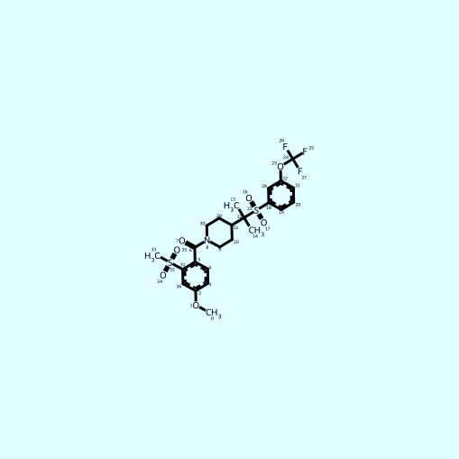 COc1ccc(C(=O)N2CCC(C(C)(C)S(=O)(=O)c3cccc(OC(F)(F)F)c3)CC2)c(S(C)(=O)=O)c1